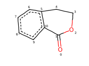 O=C1OCCc2cc[c]cc21